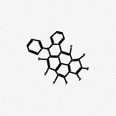 Fc1c(F)c2c(F)c(F)c3c(F)c(F)c4c5c(c(F)c(c1F)c2c35)-c1ccccc1B4c1ccccc1